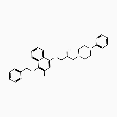 Cc1cc(OCC(O)CN2CCN(c3ccccn3)CC2)c2ccccc2c1OCc1ccccc1.Cl.Cl